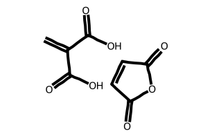 C=C(C(=O)O)C(=O)O.O=C1C=CC(=O)O1